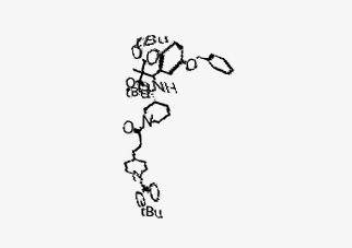 CC(C)(C)OC(=O)N1CCC(CCC(=O)N2CCC[C@@H](C(=O)NC(c3cccc(OCc4ccccc4)c3)C(C)(C(=O)OC(C)(C)C)C(=O)OC(C)(C)C)C2)CC1